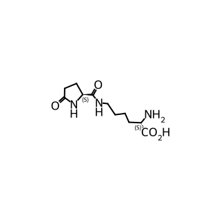 N[C@@H](CCCCNC(=O)[C@@H]1CCC(=O)N1)C(=O)O